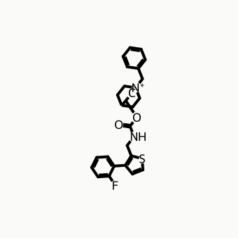 O=C(NCc1sccc1-c1ccccc1F)OC1C[N+]2(Cc3ccccc3)CCC1CC2